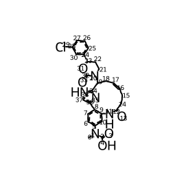 CN(C(=O)O)c1ccc2c(c1)NC(=O)CCC=CC[C@H](N1CC[C@H](c3cccc(Cl)c3)OC1=O)c1nc-2c[nH]1